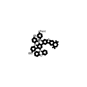 CCCCCc1ccc(Nc2cc3sc4cc5c(cc4c3cc2-c2cc(N3c4ccccc4Oc4ccccc43)c3c4cc(C(C)(C)C)ccc4n4c3c2Bc2cc(C(C)(C)C)ccc2-4)C(C)(C)CCC5(C)C)cc1